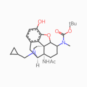 CC(=O)N[C@@]12CCC(N(C)C(=O)OC(C)(C)C)C3Oc4c(O)ccc5c4[C@@]31CCN(CC1CC1)[C@@H]2C5